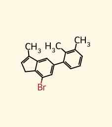 CC1=CCc2c(Br)cc(-c3cccc(C)c3C)cc21